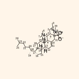 CCCC1C(N(C)C)[C@@]2(C)C(=CC[C@H]3[C@@H]4CC[C@H]([C@H](C)CCCC(C)C)[C@@]4(C)CC[C@@H]32)CC1(C(=O)[O-])[N+](C)(C)C